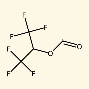 O=[C]OC(C(F)(F)F)C(F)(F)F